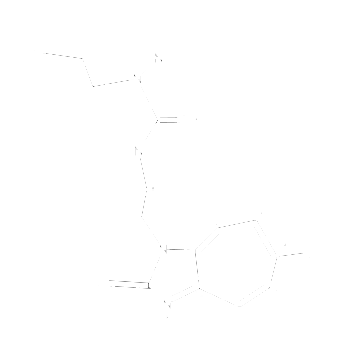 O=NN(CCCl)C(=O)NCCn1c2ccc(Cl)ccc-2nc1=O